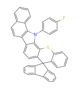 Fc1ccc(-n2c3c4c(ccc3c3ccc5ccccc5c32)C2(c3ccccc3S4)c3ccccc3-c3ccccc32)cc1